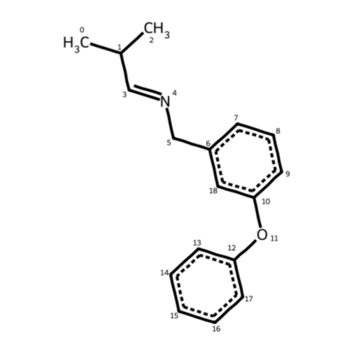 CC(C)C=NCc1cccc(Oc2ccccc2)c1